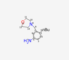 CCCCc1ccc(N)cc1CN1CCOCC1